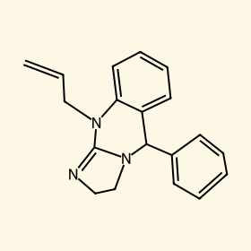 C=CCN1C2=NCCN2C(c2ccccc2)c2ccccc21